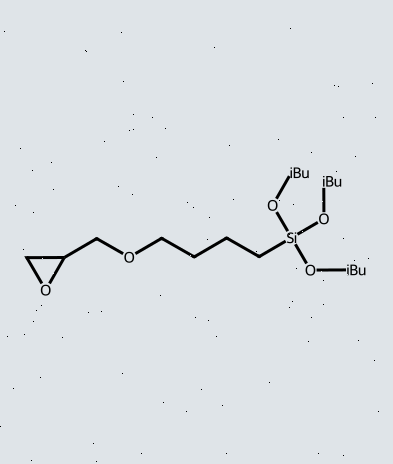 CCC(C)O[Si](CCCCOCC1CO1)(OC(C)CC)OC(C)CC